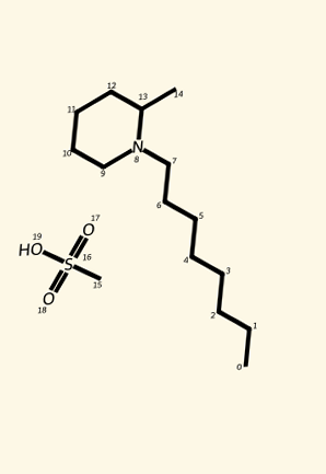 CCCCCCCCN1CCCCC1C.CS(=O)(=O)O